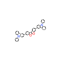 C1=Cc2c(c3cc(-c4ccc5c(c4)oc4oc6cc(C7=CC8c9ccccc9N(c9ccccc9)C8C=C7)ccc6c45)ccc3n2-c2ccccc2)CC1